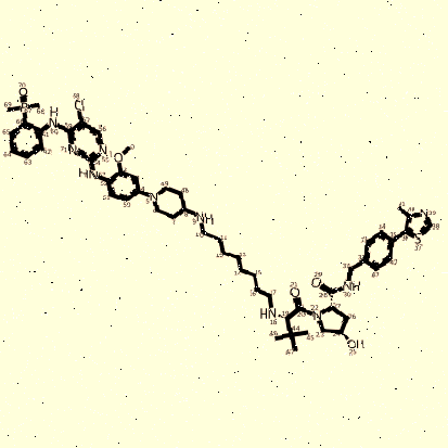 COc1cc(N2CCC(NCCCCCCCCN[C@H](C(=O)N3C[C@H](O)C[C@H]3C(=O)NCc3ccc(-c4scnc4C)cc3)C(C)(C)C)CC2)ccc1Nc1ncc(Cl)c(Nc2ccccc2P(C)(C)=O)n1